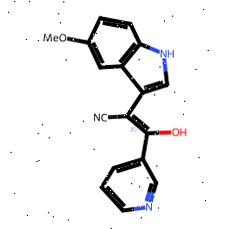 COc1ccc2[nH]cc(/C(C#N)=C(\O)c3cccnc3)c2c1